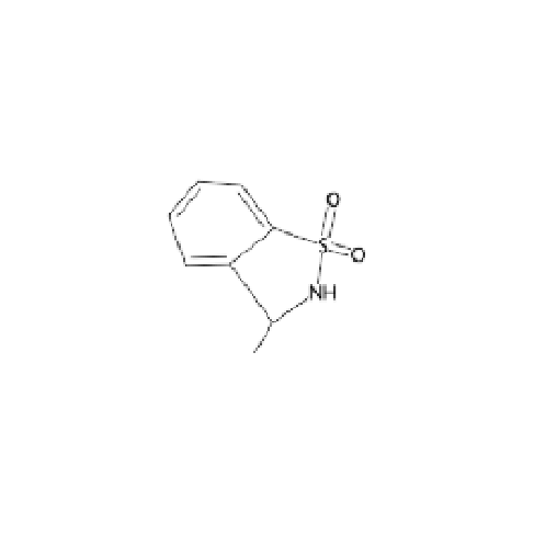 CC1NS(=O)(=O)c2ccccc21